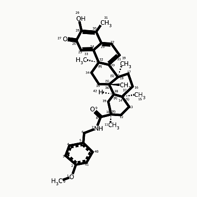 COc1ccc(CNC(=O)[C@]2(C)CC[C@]3(C)CC[C@]4(C)C5=CC=C6C(=CC(=O)C(O)=C6C)[C@]5(C)CC[C@@]4(C)[C@@H]3C2)cc1